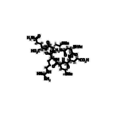 CSCC[C@H](NC(=O)[C@H](CCCNC(=N)N)NC(=O)[C@H](CCSC)NC(=O)[C@H](CCC(=O)O)NC(=O)[C@H](CC(N)=O)NC(C)=O)C(=O)N[C@@H](CCC(N)=O)C(=O)O